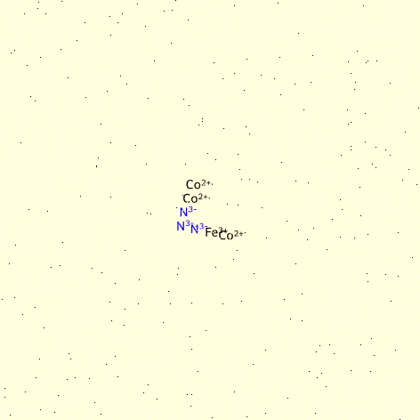 [Co+2].[Co+2].[Co+2].[Fe+3].[N-3].[N-3].[N-3]